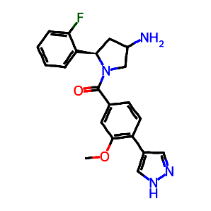 COc1cc(C(=O)N2CC(N)C[C@@H]2c2ccccc2F)ccc1-c1cn[nH]c1